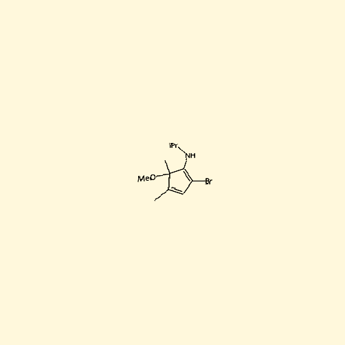 COC1(C)C(C)=CC(Br)=C1NC(C)C